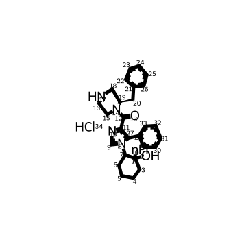 CCCC1(O)CCCCC1n1cnc(C(=O)N2CCNC[C@H]2Cc2ccccc2)c1-c1ccccc1.Cl